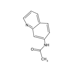 CC(=O)Nc1ccc2cccnc2c1